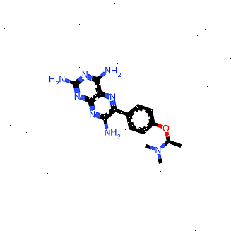 CC(Oc1ccc(-c2nc3c(N)nc(N)nc3nc2N)cc1)N(C)C